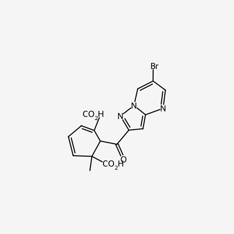 CC1(C(=O)O)C=CC=C(C(=O)O)C1C(=O)c1cc2ncc(Br)cn2n1